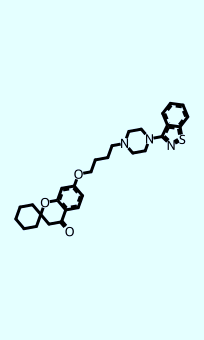 O=C1CC2(CCCCC2)Oc2cc(OCCCCN3CCN(c4nsc5ccccc45)CC3)ccc21